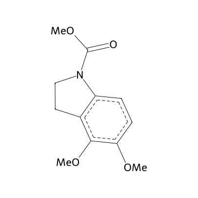 COC(=O)N1CCc2c1ccc(OC)c2OC